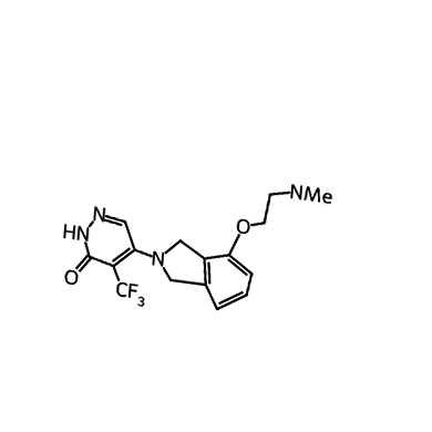 CNCCOc1cccc2c1CN(c1cn[nH]c(=O)c1C(F)(F)F)C2